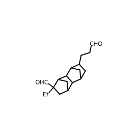 CCC1(C=O)CC2CC1C1C3CC(CC3CCC=O)C21